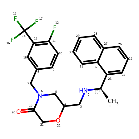 C[C@@H](NCC1CN(Cc2ccc(F)c(C(F)(F)F)c2)C(=O)CO1)c1cccc2ccccc12